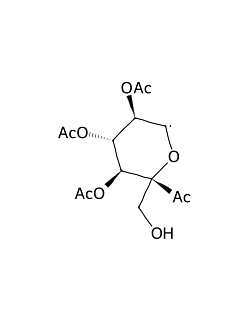 CC(=O)O[C@@H]1[C@@H](OC(C)=O)[CH]O[C@@](CO)(C(C)=O)[C@H]1OC(C)=O